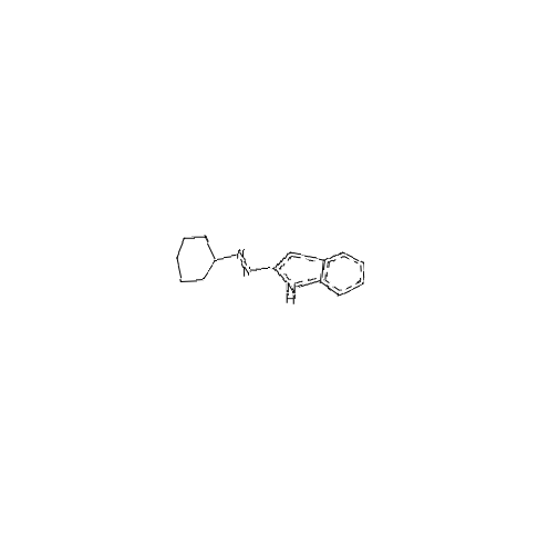 c1ccc2[nH]c(/N=N/C3CCCCC3)cc2c1